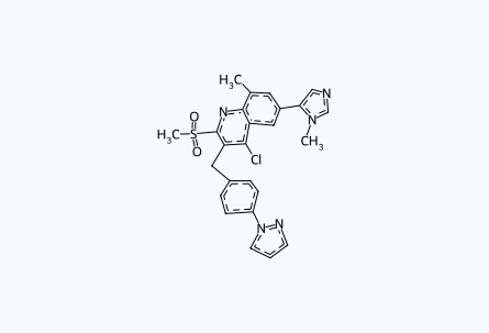 Cc1cc(-c2cncn2C)cc2c(Cl)c(Cc3ccc(-n4cccn4)cc3)c(S(C)(=O)=O)nc12